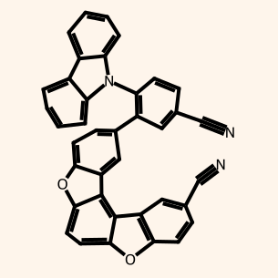 N#Cc1ccc(-n2c3ccccc3c3ccccc32)c(-c2ccc3oc4ccc5oc6ccc(C#N)cc6c5c4c3c2)c1